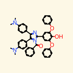 CN(C)c1ccc(-c2nc(-c3cc(Oc4ccccc4)c(O)c(Oc4ccccc4)c3)n(C(=O)c3ccccc3)c2-c2ccc(N(C)C)cc2)cc1